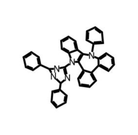 c1ccc(C2N=C(n3c4c(c5ccccc53)N(c3ccccc3)c3ccccc3-c3ccccc3-4)N3C(c4ccccc4)N23)cc1